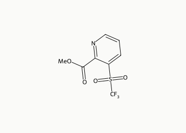 COC(=O)c1ncccc1S(=O)(=O)C(F)(F)F